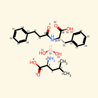 CC(C)C[C@H](N)C(=O)O.O=C(CCc1ccccc1)N[C@@H](Cc1ccccc1)C(=O)O.OBO